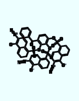 N#[N+]c1ccc2c(c1[O-])=CCCC=2S(=O)(=O)Oc1ccc(C(=O)c2ccccc2)c(OS(=O)(=O)C2=c3ccc([N+]#N)c([O-])c3=CCC2)c1OS(=O)(=O)C1=c2ccc([N+]#N)c([O-])c2=CCC1